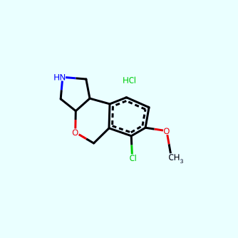 COc1ccc2c(c1Cl)COC1CNCC21.Cl